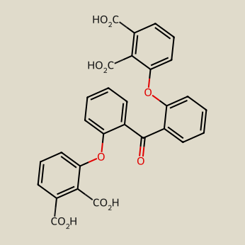 O=C(c1ccccc1Oc1cccc(C(=O)O)c1C(=O)O)c1ccccc1Oc1cccc(C(=O)O)c1C(=O)O